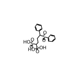 O=P(O)(O)C(CCC(c1ccccc1)S(=O)(=O)c1ccccc1)S(=O)(=O)O